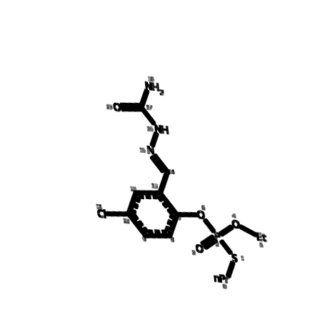 CCCSP(=O)(OCC)Oc1ccc(Cl)cc1C=NNC(N)=O